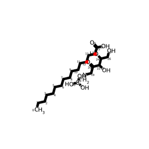 CCCCCCCCCCCCCCCC(=O)O.NCC(=O)C(O)C(O)CO.OB(O)O